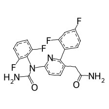 NC(=O)Cc1ccc(N(C(N)=O)c2c(F)cccc2F)nc1-c1ccc(F)cc1F